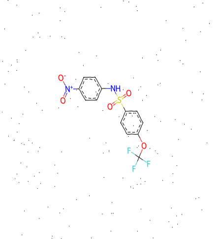 O=[N+]([O-])c1ccc(NS(=O)(=O)c2ccc(OC(F)(F)F)cc2)cc1